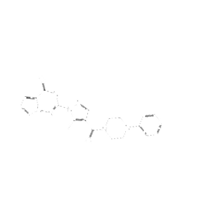 Cc1c(C(=O)N2CCN(c3ccccc3)CC2)cnn1-c1nn2cccc2c(=O)[nH]1